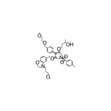 COCCCN1CCOc2ccc(CO[C@H]3CN(S(=O)(=O)c4ccc(C)cc4)C[C@@H](OCCC(C)O)[C@@H]3c3ccc(COCCOC)cc3)cc21